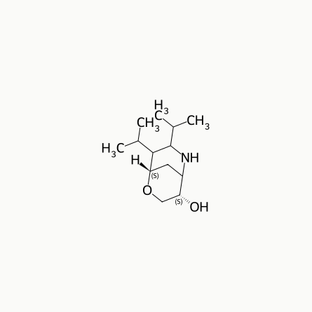 CC(C)C1NC2C[C@H](OC[C@H]2O)C1C(C)C